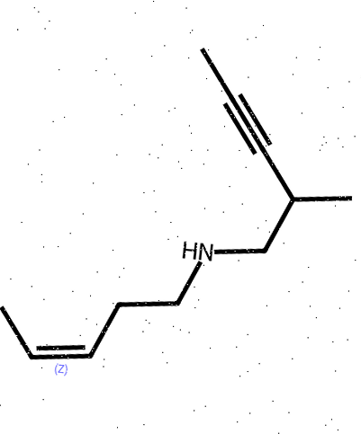 CC#CC(C)CNCC/C=C\C